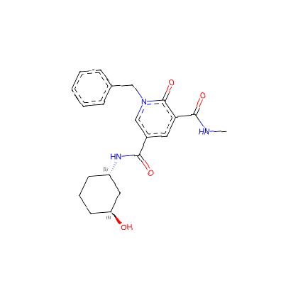 CNC(=O)c1cc(C(=O)N[C@H]2CCC[C@H](O)C2)cn(Cc2ccccc2)c1=O